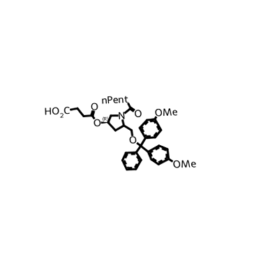 CCCCCC(=O)N1C[C@H](OC(=O)CCC(=O)O)CC1COC(c1ccccc1)(c1ccc(OC)cc1)c1ccc(OC)cc1